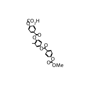 COC(=O)Oc1ccc(C(=O)Oc2ccc(OC(=O)c3ccc(OC(=O)O)cc3)c(C)c2)cc1